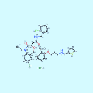 COc1c(OCCCNCc2cccs2)cccc1[C@H]1O[C@H](CC(=O)NCc2ccccc2F)C(=O)N(CC(C)(C)C)c2ccc(Cl)cc21.Cl